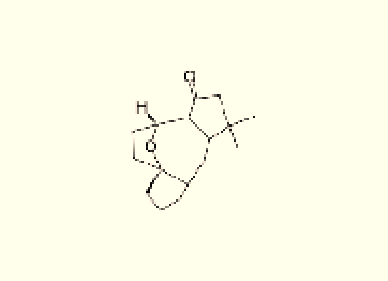 CC1(C)CC(=O)C2C1CC1CCC[C@]13CC[C@H]2O3